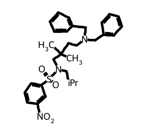 CC(C)CN(CC(C)(C)CCN(Cc1ccccc1)Cc1ccccc1)S(=O)(=O)c1cccc([N+](=O)[O-])c1